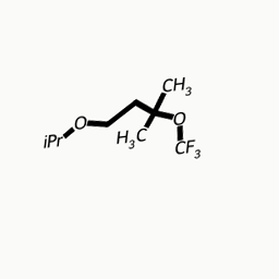 CC(C)OCCC(C)(C)OC(F)(F)F